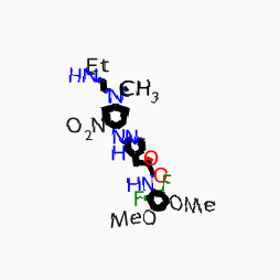 CCNCCN(C)c1ccc(Nc2cc3cc(C(=O)Nc4c(F)c(OC)cc(OC)c4F)oc3cn2)c([N+](=O)[O-])c1